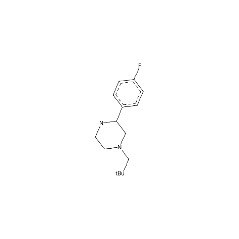 CC(C)(C)CN1CC[N]C(c2ccc(F)cc2)C1